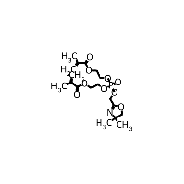 C=C(C)C(=O)OCCOP(=O)(OCCOC(=O)C(=C)C)OCC1=NC(C)(C)CO1